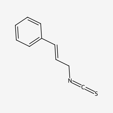 S=C=NCC=Cc1ccccc1